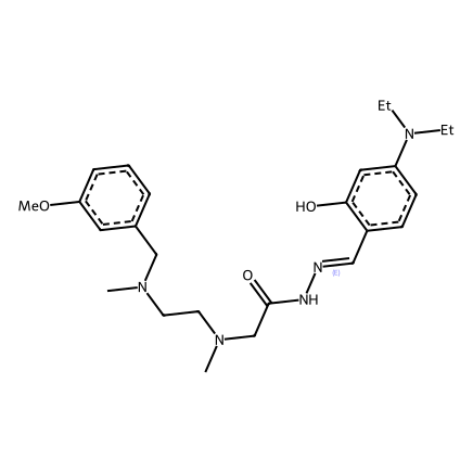 CCN(CC)c1ccc(/C=N/NC(=O)CN(C)CCN(C)Cc2cccc(OC)c2)c(O)c1